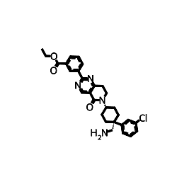 CCOC(=O)c1cccc(-c2ncc3c(n2)CCN([C@H]2CC[C@](CN)(c4cccc(Cl)c4)CC2)C3=O)c1